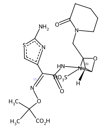 CC(C)(O/N=C(\C(=O)N[C@H]1C2OC1(CN1CCCCC1=O)N2S(=O)(=O)O)c1csc(N)n1)C(=O)O